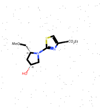 CCOC(=O)c1csc(N2C[C@H](O)C[C@@H]2COC)n1